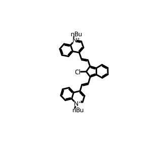 CCCC[n+]1ccc(C=CC2=c3ccccc3=C(C=Cc3cc[n+](CCCC)c4ccccc34)C2Cl)c2ccccc21